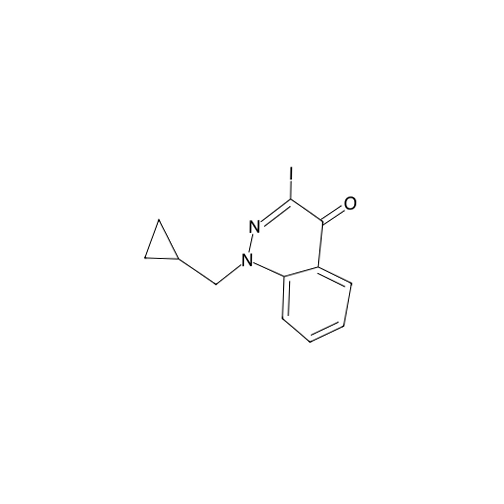 O=c1c(I)nn(CC2CC2)c2ccccc12